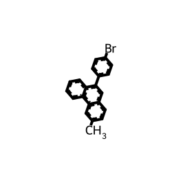 Cc1ccc2cc(-c3ccc(Br)cc3)c3ccccc3c2c1